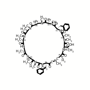 CCC[C@@H]1CN(C)C(=O)[C@H](C(C)C)N(C)C(=O)[C@H](Cc2ccccc2)NC(=O)[C@H](C)N(C)C(=O)C([C@@H](C)O)NC(=O)[C@H](C)CN(C)CC(=O)[C@H](Cc2ccccc2)N(C)C(=O)N(C)C(=O)[C@H](C)NC(=O)[C@H](C)NC(=O)[C@H](C)N(C)C(=O)[C@H](C)N(C)C1=O